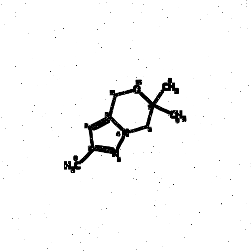 Cc1cc2n(n1)CC(C)(C)OC2